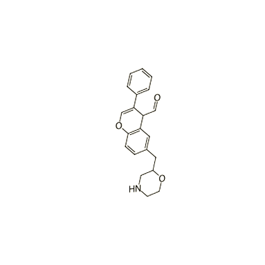 O=CC1C(c2ccccc2)=COc2ccc(CC3CNCCO3)cc21